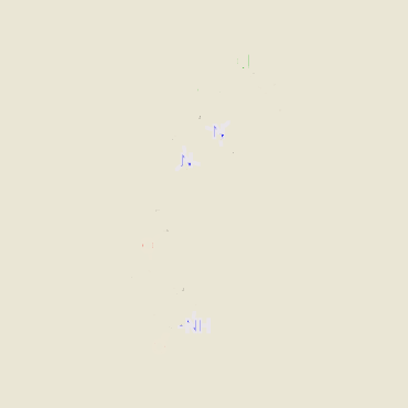 O=C1NCc2cc(OCCCCN3CCN(c4cccc(Cl)c4Cl)CC3)ccc21